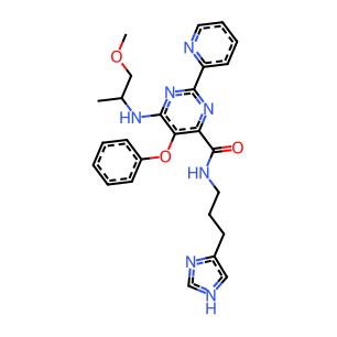 COCC(C)Nc1nc(-c2ccccn2)nc(C(=O)NCCCc2c[nH]cn2)c1Oc1ccccc1